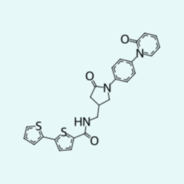 O=C(NCC1CC(=O)N(c2ccc(-n3ccccc3=O)cc2)C1)c1ccc(-c2cccs2)s1